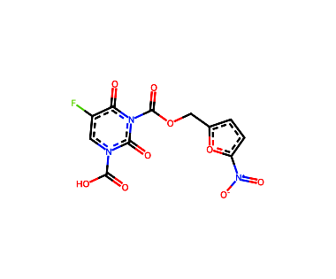 O=C(O)n1cc(F)c(=O)n(C(=O)OCc2ccc([N+](=O)[O-])o2)c1=O